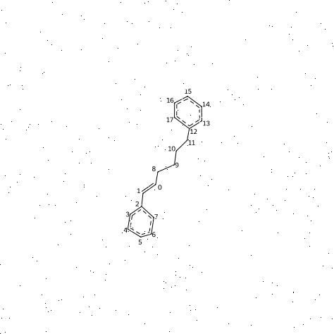 C(=Cc1ccccc1)CCCCc1ccccc1